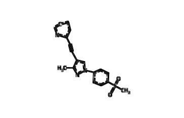 Cc1nn(-c2ccc(S(C)(=O)=O)cc2)cc1C#Cc1ccccn1